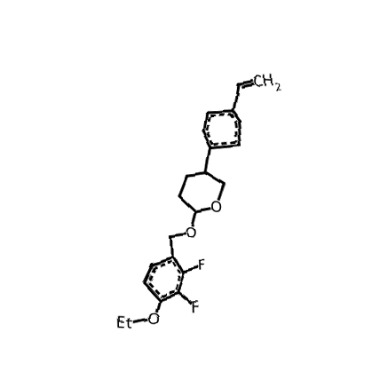 C=Cc1ccc(C2CCC(OCc3ccc(OCC)c(F)c3F)OC2)cc1